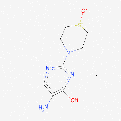 Nc1cnc(N2CC[S+]([O-])CC2)nc1O